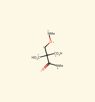 CNOCC(C(=O)O)(C(=O)O)C(=O)NC